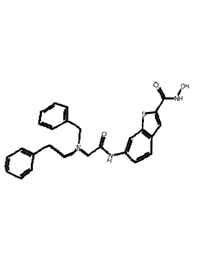 O=C(CN(CCc1ccccc1)Cc1ccccc1)Nc1ccc2cc(C(=O)NO)sc2c1